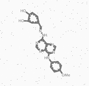 COc1ccc(Nc2ncnc3c(NN=Cc4ccc(O)c(O)c4)ncnc23)cc1